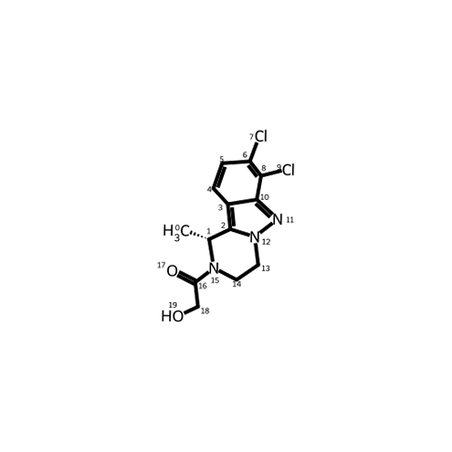 C[C@@H]1c2c3ccc(Cl)c(Cl)c3nn2CCN1C(=O)CO